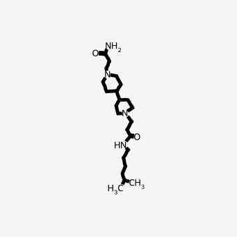 CC(C)CCCCNC(=O)CCN1CCC(C2CCN(CCC(N)=O)CC2)CC1